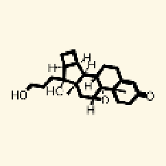 C[C@]12CCC(=O)C=C1CC[C@H]1[C@@H]3[C@@H]4CC[C@@H]4[C@@](O)(CCCO)[C@@]3(C)C[C@H]3O[C@]312